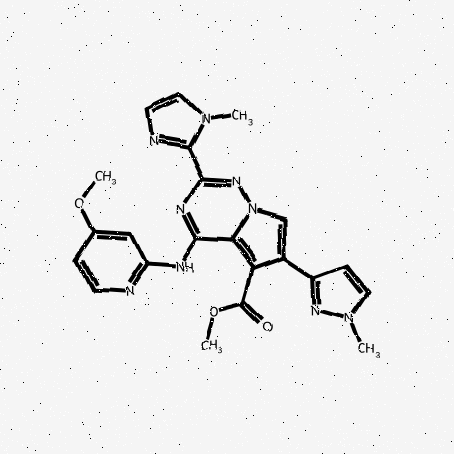 COC(=O)c1c(-c2ccn(C)n2)cn2nc(-c3nccn3C)nc(Nc3cc(OC)ccn3)c12